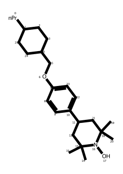 CCCC1CCC(COc2ccc(C3CC(C)(C)N(O)C(C)(C)C3)cc2)CC1